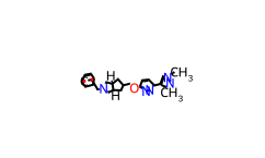 Cc1nn(C)cc1-c1ccc(OCC2C[C@@H]3CN(CC4CC5C=CC4CC5)C[C@@H]3C2)nn1